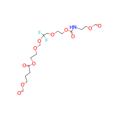 O=COCCCC(=O)OCCOCOC(F)(F)COCCOC(=O)NCCOC=O